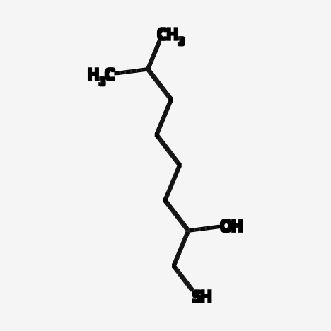 CC(C)CCCCC(O)CS